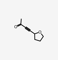 CC(=O)C#CC1CCCO1